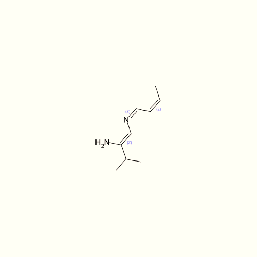 C\C=C/C=N\C=C(/N)C(C)C